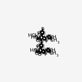 CC1CN(c2cc3c(cc2F)c(=O)c(C(=O)O)cn3-c2ccc(F)cc2F)CCN1.CC1CN(c2cc3c(cc2F)c(=O)c(C(=O)O)cn3-c2ccc(F)cc2F)CCN1.Cl